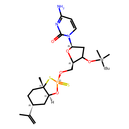 C=C(C)[C@@H]1CC[C@]2(C)S[P@@](=S)(OC[C@H]3O[C@@H](n4ccc(N)nc4=O)CC3O[Si](C)(C)C(C)(C)C)O[C@H]2C1